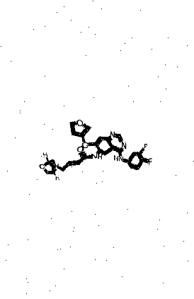 O=C(/C=C/CN1C[C@@H]2C[C@H]1CO2)Nc1cc2c(Nc3ccc(F)c(F)c3)ncnc2cc1O[C@H]1CCOC1